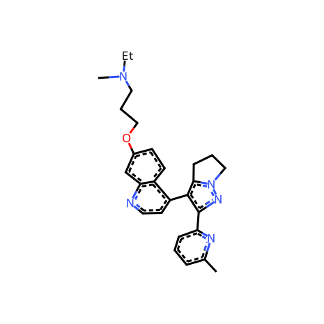 CCN(C)CCCOc1ccc2c(-c3c(-c4cccc(C)n4)nn4c3CCC4)ccnc2c1